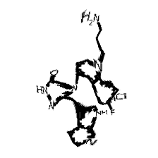 Cl.NCCCn1cc(-n2c(-c3c[nH]c4ncccc34)n[nH]c2=O)c2cc(F)ccc21